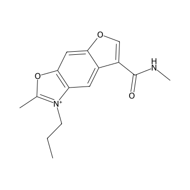 CCC[n+]1c(C)oc2cc3occ(C(=O)NC)c3cc21